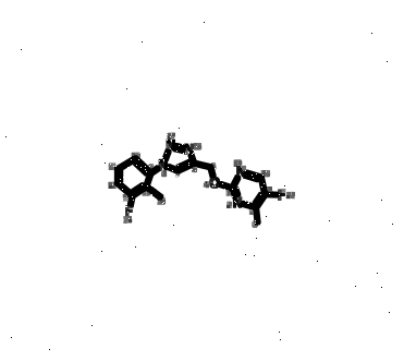 Cc1nc(OCc2cn(-c3cccc(F)c3C)nn2)ncc1F